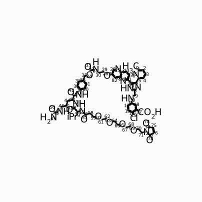 Cc1cccc(-c2nc(CNc3ccc(Cl)c(C(=O)O)c3)[nH]c2-c2ccc3ncc(OCCNC(=O)OCc4ccc(NC(=O)C(CCCNC(N)=O)NC(=O)C(NC(=O)CCOCCOCCOCCOCCN5C(=O)C=CC5=O)C(C)C)cc4)cc3n2)n1